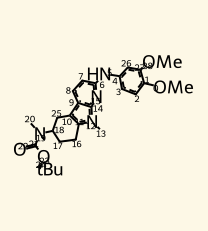 COc1ccc(Nc2ccc3c4c(n(C)c3n2)CCC(N(C)C(=O)OC(C)(C)C)C4)cc1OC